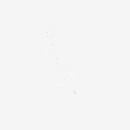 CC#CC[C@H](C)[C@H](O)/C=C/[C@@H]1[C@H]2C/C(=C/CCCC(=O)NCc3ccccc3)C[C@H]2C[C@H]1O